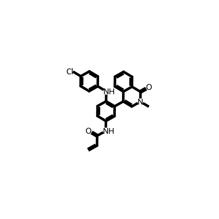 C=CC(=O)Nc1ccc(Nc2ccc(Cl)cc2)c(-c2cn(C)c(=O)c3ccccc23)c1